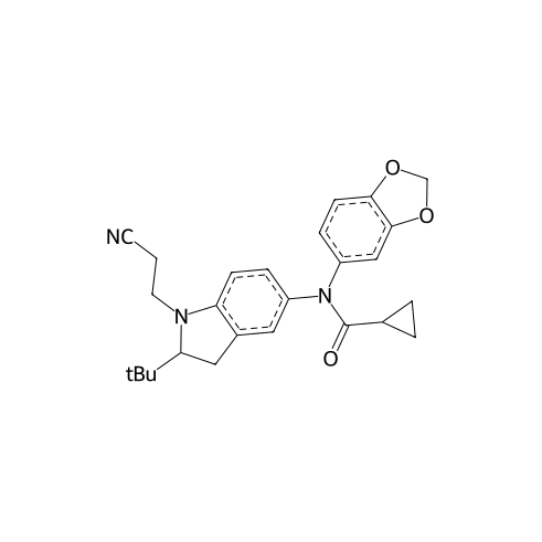 CC(C)(C)C1Cc2cc(N(C(=O)C3CC3)c3ccc4c(c3)OCO4)ccc2N1CCC#N